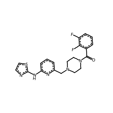 O=C(c1cccc(F)c1F)N1CCN(Cc2cccc(Nc3nccs3)n2)CC1